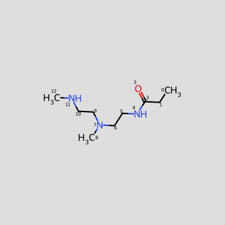 CCC(=O)NCCN(C)CCNC